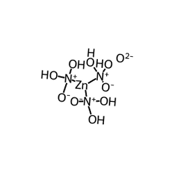 [O-2].[O-][N+](O)(O)[Zn]([N+]([O-])(O)O)[N+]([O-])(O)O